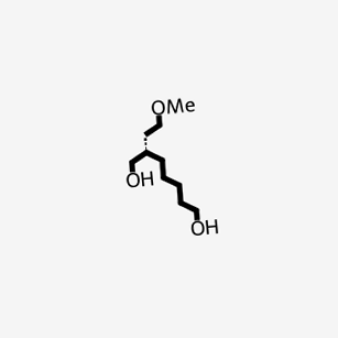 [CH2]OCC[C@@H](CO)CCCCCO